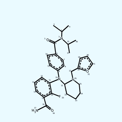 CC(C)N(C(=O)c1ccc(N(c2cccc(C(N)=O)c2F)C2CCCCN2Cc2ccco2)cc1)C(C)C